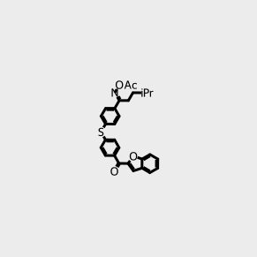 CC(=O)ON=C(CCC(C)C)c1ccc(Sc2ccc(C(=O)c3cc4ccccc4o3)cc2)cc1